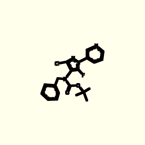 CC(C)(C)OC(=O)N(Cc1ccccc1)c1c(Cl)nn(-c2cccnc2)c1F